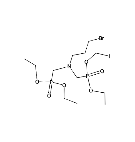 CCOP(=O)(CN(CCCBr)CP(=O)(OCC)OCI)OCC